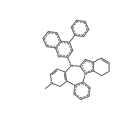 CN1C=CC2=C(C1)c1ccccc1-n1c(cc3c1CCC=C3)N2c1cc(-c2ccccc2)c2ccccc2n1